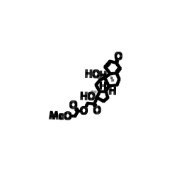 COCC(=O)OCC(=O)[C@@]1(O)CC[C@H]2[C@@H]3CCC4=CC(=O)C=C[C@]4(C)[C@H]3[C@@H](O)C[C@@]21C